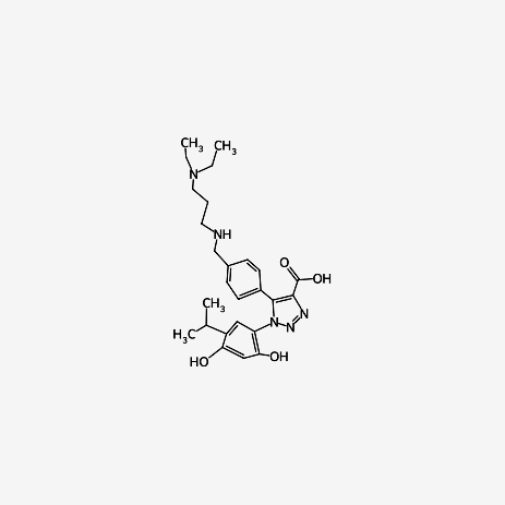 CCN(CC)CCCNCc1ccc(-c2c(C(=O)O)nnn2-c2cc(C(C)C)c(O)cc2O)cc1